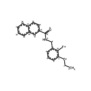 CCOc1cccc(CNC(=O)c2ccc3ncccc3n2)c1F